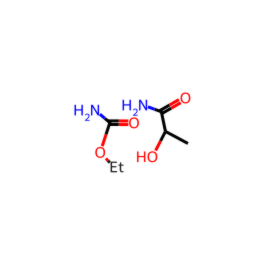 CC(O)C(N)=O.CCOC(N)=O